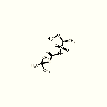 CON(C)S(=O)(=O)NC(=O)OC(C)(C)C